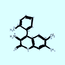 Cc1cc2oc(=O)c(N)c(-c3ccccc3C)c2cc1C